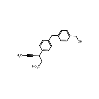 CC#CC(CC(=O)O)c1ccc(Cc2ccc(CO)cc2)cc1